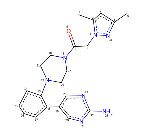 Cc1cc(C)n(CC(=O)N2CCN(c3ccccc3-c3cnc(N)nc3)CC2)n1